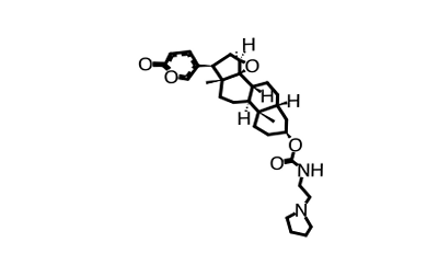 C[C@]12CC[C@H](OC(=O)NCCN3CCCC3)C[C@H]1CC[C@@H]1[C@@H]2CC[C@]2(C)[C@@H](c3ccc(=O)oc3)[C][C@H]3O[C@]132